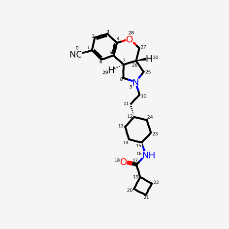 N#Cc1ccc2c(c1)[C@@H]1CN(CC[C@H]3CC[C@H](NC(=O)C4CCC4)CC3)C[C@H]1CO2